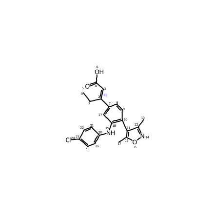 CC/C(=C\C(=O)O)c1ccc(-c2c(C)noc2C)c(Nc2ccc(Cl)cc2)c1